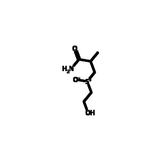 CC(C[S+]([O-])CCO)C(N)=O